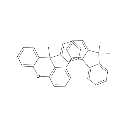 CC1(C)c2ccccc2-c2c(-c3cccc4c3C(C)(c3ccccc3)c3ccccc3O4)cccc21